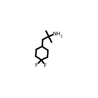 CC(C)(N)CC1CCC(F)(F)CC1